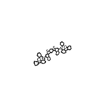 c1ccc(N(c2cc3sc4cc5sc6cc(N(c7ccccc7)c7cccc8c7oc7ccccc78)c7ccccc7c6c5cc4c3c3ccccc23)c2cccc3c2oc2ccccc23)cc1